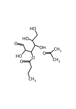 CC(C)=O.CCCC(=O)OC(C(O)C=O)C(O)C(O)CO